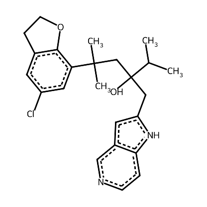 CC(C)C(O)(Cc1cc2cnccc2[nH]1)CC(C)(C)c1cc(Cl)cc2c1OCC2